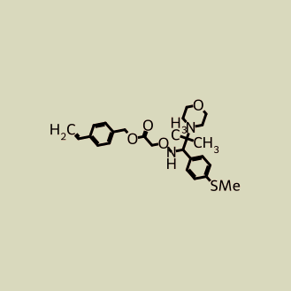 C=Cc1ccc(COC(=O)CONC(c2ccc(SC)cc2)C(C)(C)N2CCOCC2)cc1